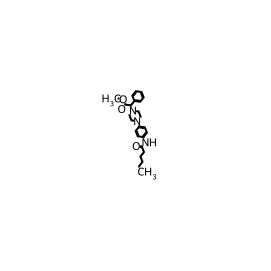 CCCCCC(=O)Nc1ccc(N2CCN(C(C(=O)OC)c3ccccc3)CC2)cc1